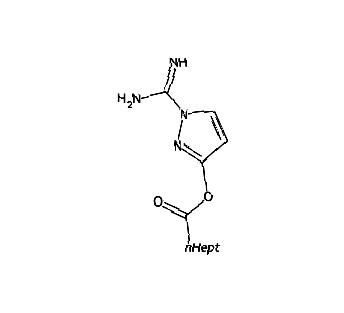 CCCCCCCC(=O)Oc1ccn(C(=N)N)n1